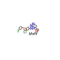 CNCc1ccc(-c2ccc3ncnc(Nc4ccc(OCc5cccc(F)c5)c(Cl)c4)c3c2)o1